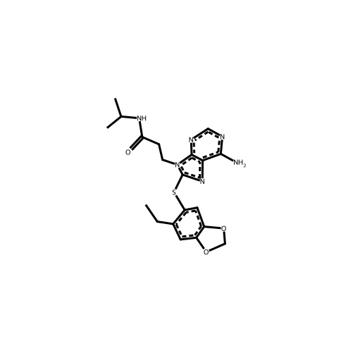 CCc1cc2c(cc1Sc1nc3c(N)ncnc3n1CCC(=O)NC(C)C)OCO2